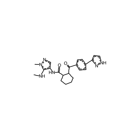 CNc1c(NC(=O)C2CCCCC2C(=O)c2ccc(-c3cc[nH]n3)cc2)cnn1C